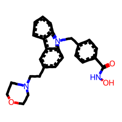 O=C(NO)c1ccc(Cn2c3ccccc3c3cc(CCN4CCOCC4)ccc32)cc1